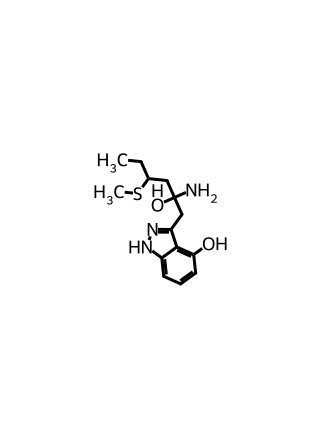 CCC(CC(N)(O)Cc1n[nH]c2cccc(O)c12)SC